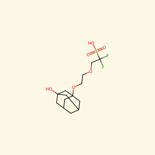 O=S(=O)(O)C(F)(F)COCCOC12CC3CC(CC(O)(C3)C1)C2